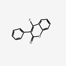 O=c1oc2ccccc2c(F)c1-c1ccccc1